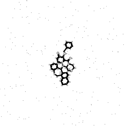 O=C1c2c(OCc3ccccc3)c(=O)ccn2N(C2c3ccccc3SCc3c2ccc2ccccc32)C2COCCN12